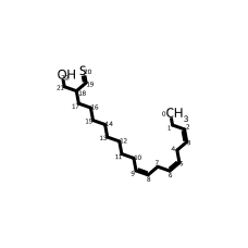 CC/C=C\C/C=C\C/C=C\CCCCCCCCC(C=S)CO